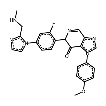 CNCc1nccn1-c1ccc(C2N=Cc3ncn(-c4ccc(OC)cc4)c3C2=O)c(F)c1